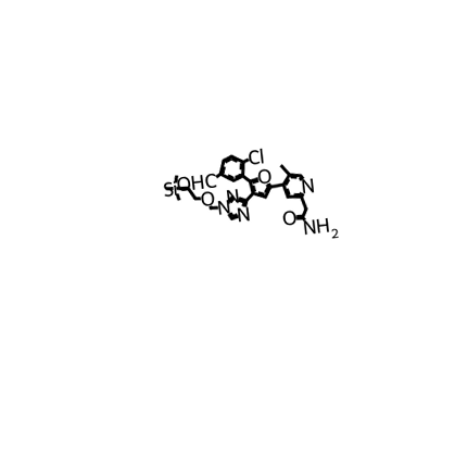 Cc1cnc(CC(N)=O)cc1-c1cc(-c2ncn(COCC[Si](C)(C)C)n2)c(-c2cc(C=O)ccc2Cl)o1